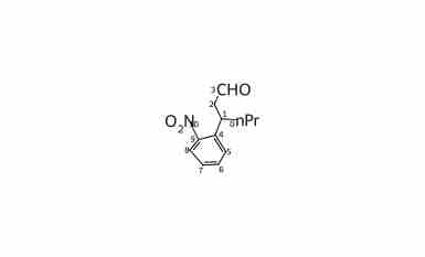 CCCC(CC=O)c1ccccc1[N+](=O)[O-]